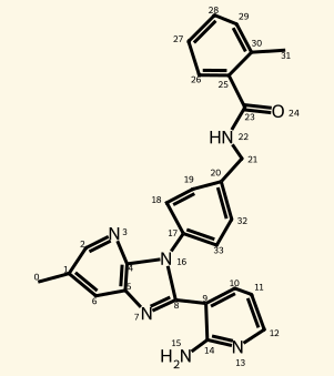 Cc1cnc2c(c1)nc(-c1cccnc1N)n2-c1ccc(CNC(=O)c2ccccc2C)cc1